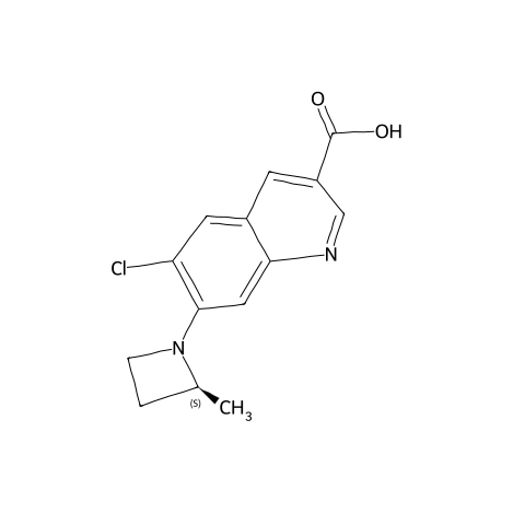 C[C@H]1CCN1c1cc2ncc(C(=O)O)cc2cc1Cl